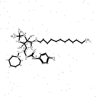 CCCCCCCCCCCCO[C@H]1O[C@H]([C@@H](CN2CCCCCC2)OC(=O)Nc2ccc(Cl)cc2)[C@@H]2OC(C)(C)O[C@H]12